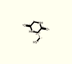 O=C1CNC(=O)[C@H](CS)N1